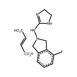 Fc1cccc2c1CN(NC1=NCCN1)C2.O=C(O)C=CC(=O)O